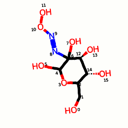 OCC1OC(O)C(O)(N=NOO)[C@@H](O)[C@@H]1O